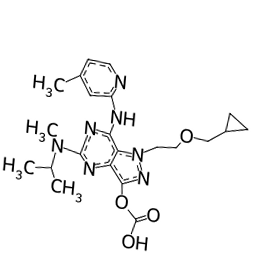 Cc1ccnc(Nc2nc(N(C)C(C)C)nc3c(OC(=O)O)nn(CCOCC4CC4)c23)c1